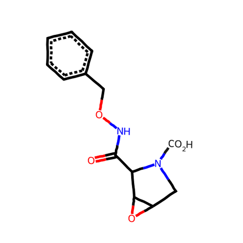 O=C(NOCc1ccccc1)C1C2OC2CN1C(=O)O